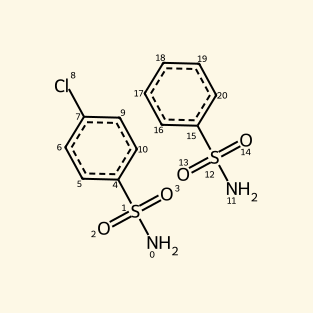 NS(=O)(=O)c1ccc(Cl)cc1.NS(=O)(=O)c1ccccc1